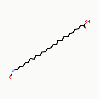 O=C=NCCCCCCCCCCCCCCCCCCCCCCCCC(=O)O